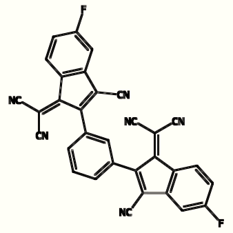 N#CC(C#N)=C1C(c2cccc(C3=C(C#N)c4cc(F)ccc4C3=C(C#N)C#N)c2)=C(C#N)c2cc(F)ccc21